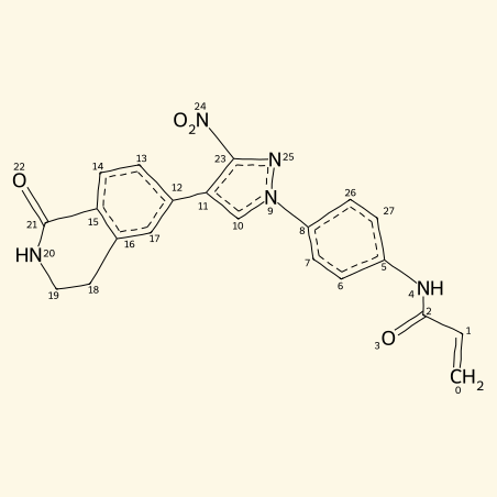 C=CC(=O)Nc1ccc(-n2cc(-c3ccc4c(c3)CCNC4=O)c([N+](=O)[O-])n2)cc1